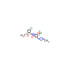 CCN1CCN(Cc2cc(OC(F)(F)F)cc(C(=O)NCc3cc(Cl)ccc3[S+]([O-])CC)c2)CC1